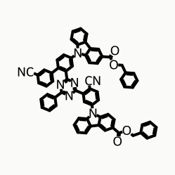 N#Cc1cccc(-c2ccc(-n3c4ccccc4c4cc(C(=O)OCc5ccccc5)ccc43)cc2-c2nc(-c3ccccc3)nc(-c3cc(-n4c5ccccc5c5cc(C(=O)OCc6ccccc6)ccc54)ccc3C#N)n2)c1